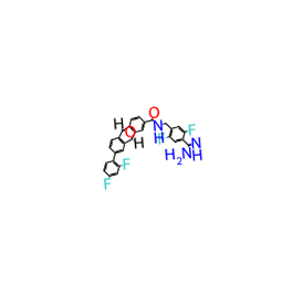 N=C(N)c1cc(F)c(CNC(=O)c2ccc3c(c2)[C@@H]2O[C@H]3c3ccc(-c4ccc(F)cc4F)cc32)cc1F